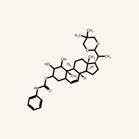 CC(C1OCC(C)(C)CO1)[C@H]1CC[C@H]2[C@@H]3C=CC4CC(OC(=O)Nc5ccccc5)C(O)C(O)[C@]4(C)[C@H]3CC[C@]12C